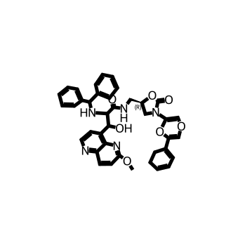 COc1ccc2nccc(C(O)C(NC(c3ccccc3)c3ccccc3)C(=O)NC[C@@H]3CN(C4=COC=C(C5=CC=CCC5)O4)C(=O)O3)c2n1